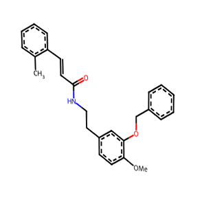 COc1ccc(CCNC(=O)/C=C/c2ccccc2C)cc1OCc1ccccc1